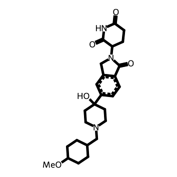 COC1CCC(CN2CCC(O)(c3ccc4c(c3)CN(C3CCC(=O)NC3=O)C4=O)CC2)CC1